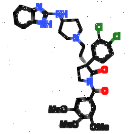 COc1cc(C(=O)N2CC[C@@](CCN3CCC(Nc4nc5ccccc5[nH]4)CC3)(c3ccc(Cl)c(Cl)c3)C2=O)cc(OC)c1OC